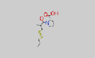 CCCSSC[C@@H](C)C(=O)N1CCC[C@H]1C(=O)O